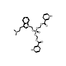 CN(C)CCc1cn(COP(=O)(OCOC(=O)C2=CNC=CC2)OCOC(=O)C2=CNC=CC2)c2ccccc12